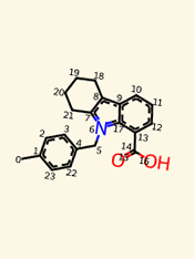 Cc1ccc(Cn2c3c(c4cccc(C(=O)O)c42)CCCC3)cc1